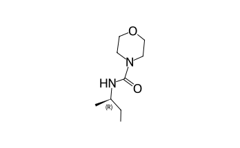 CC[C@@H](C)NC(=O)N1CCOCC1